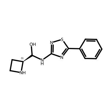 OC(Nc1nsc(-c2ccccc2)n1)[C@@H]1CCN1